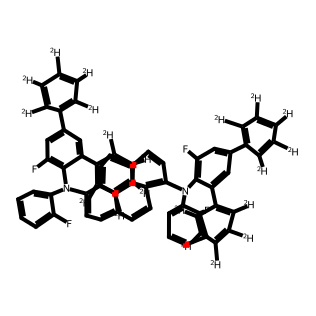 [2H]c1c([2H])c([2H])c(-c2cc(F)c(N(C3=CC=C4C=CC5=C(N(c6ccccc6F)c6c(F)cc(-c7c([2H])c([2H])c([2H])c([2H])c7[2H])cc6-c6c([2H])c([2H])c([2H])c([2H])c6[2H])C=CC6=CC=C3C4C65)c3ccccc3F)c(-c3c([2H])c([2H])c([2H])c([2H])c3[2H])c2)c([2H])c1[2H]